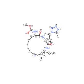 CCOC(=O)[C@@]12C[C@H]1/C=C\CCCCC[C@H](NC(=O)OC(C)(C)C)C(=O)N1C[C@H](n3nnnc3C)C[C@H]1C(=O)N2